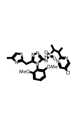 COc1cccc(OC)c1-n1c(Cc2nc(C)cs2)nnc1NS(=O)(=O)C(C)C(C)c1ncc(Cl)cn1